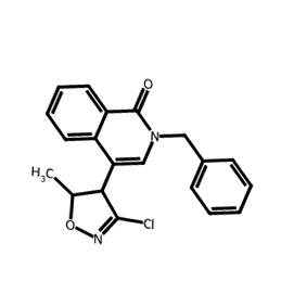 CC1ON=C(Cl)C1c1cn(Cc2ccccc2)c(=O)c2ccccc12